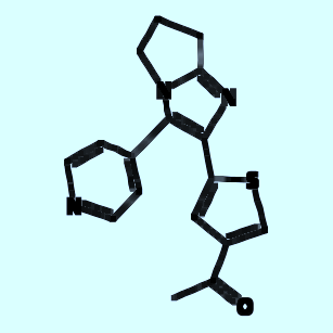 CC(=O)c1csc(-c2nc3n(c2-c2ccncc2)CCC3)c1